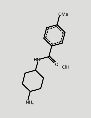 COc1ccc(C(=O)NC2CCC(N)CC2)cc1.Cl